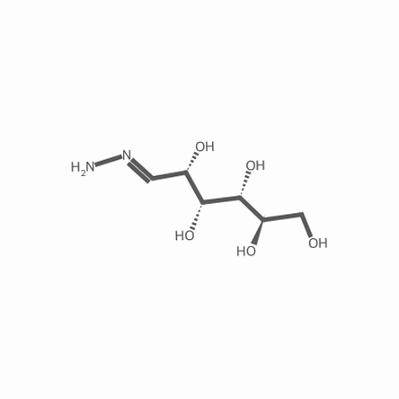 NN=C[C@H](O)[C@@H](O)[C@H](O)[C@H](O)CO